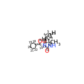 CC1(C2C[C@H]3CC[C@H]2CC3)NC(=O)N(CC(=O)c2ccccc2)C1=O